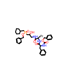 CC(C)C(NC(=O)C(Cc1ccccc1)NC(=O)OCc1ccccc1)C(=O)NCC(O)CP(=O)(CC1CCCCC1)OCc1ccccc1